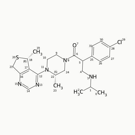 CC(C)NCC(C(=O)N1CCN(c2ncnc3c2[C@@H](C)SC3)[C@@H](C)C1)c1ccc(Cl)cc1